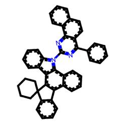 c1ccc(-c2nc(-n3c4ccccc4c4c5c(c6ccccc6c43)-c3ccccc3C53CCCCC3)nc3c2ccc2ccccc23)cc1